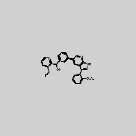 COc1ccccc1-c1c[nH]c2ncc(-c3cccc(C(O)c4ncccc4CF)c3)cc12